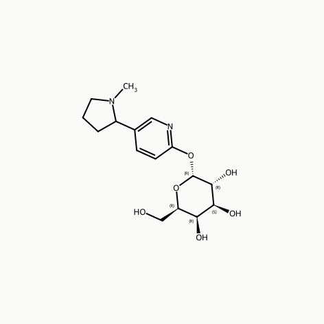 CN1CCCC1c1ccc(O[C@H]2O[C@H](CO)[C@H](O)[C@H](O)[C@H]2O)nc1